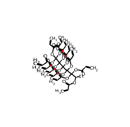 C=CC(=O)OC(CC)C(OC(=O)C=C)(OC(=O)C=C)C(OC(=O)C=C)(OC(=O)C=C)C(OC(=O)C=C)(OC(=O)C=C)C(OC(=O)C=C)(OC(=O)C=C)C(OC(=O)C=C)(OC(=O)C=C)OC(=O)C=C